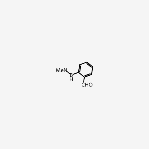 CNBc1ccccc1C=O